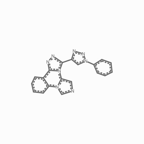 c1ccc(-n2cc(-c3nnc4c5ccccc5n5cncc5n34)nn2)cc1